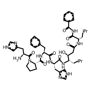 CC(C)C[C@H](NC(=O)C[C@H](O)[C@H](CC(C)C)NC(=O)[C@H](Cc1c[nH]cn1)NC(=O)[C@H](Cc1ccccc1)NC(=O)[C@@H]1CCCN1C(=O)[C@@H](N)Cc1c[nH]cn1)C(=O)NC(=O)c1ccccc1